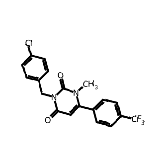 Cn1c(-c2ccc(C(F)(F)F)cc2)cc(=O)n(Cc2ccc(Cl)cc2)c1=O